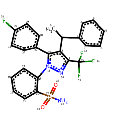 CC(c1ccccc1)c1c(C(F)(F)F)nn(-c2ccccc2S(N)(=O)=O)c1-c1ccc(F)cc1